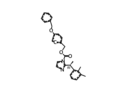 Cc1cccc([C@H](C)c2nccn2C(=O)OCc2ccc(OCc3ccccc3)cc2)c1C